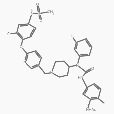 CC(=O)Nc1cc(NC(=O)N(c2cccc(F)c2)C2CCN(Cc3ccc(Oc4ccc(NS(C)(=O)=O)cc4Cl)nc3)CC2)ccc1F